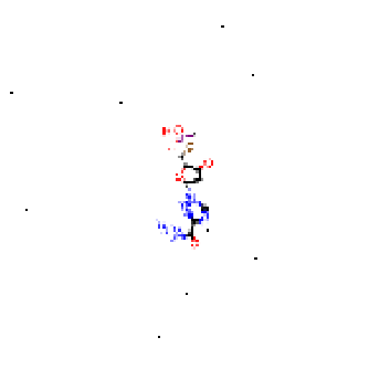 CP(=O)(O)SC[C@H]1O[C@@H](n2cnc(C(N)=O)n2)CC1=O